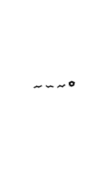 [O]CCCCOCCCCOCCCCOc1ccccc1